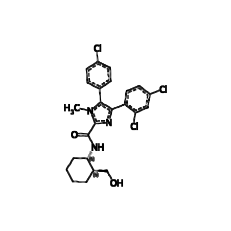 Cn1c(C(=O)N[C@H]2CCCC[C@@H]2CO)nc(-c2ccc(Cl)cc2Cl)c1-c1ccc(Cl)cc1